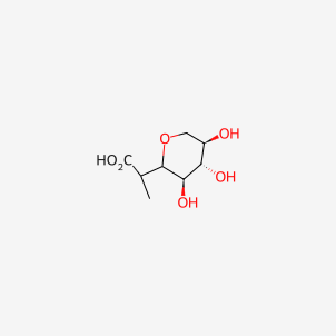 CC(C(=O)O)C1OC[C@@H](O)[C@H](O)[C@H]1O